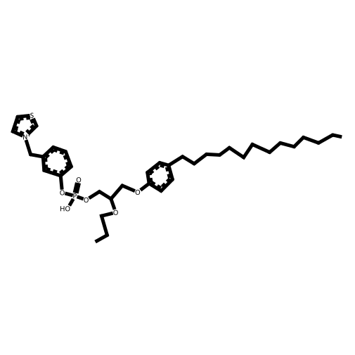 CCCCCCCCCCCCCCc1ccc(OCC(COP(=O)(O)Oc2cccc(C[n+]3ccsc3)c2)OCCC)cc1